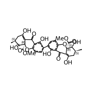 COC(=O)[C@@]12Oc3ccc(-c4ccc5c(c4O)C(=O)C4=C(O)C[C@H](C)[C@H](O)[C@]4(C(=O)OC)O5)c(O)c3C(=O)C1=C(O)C[C@H](C)[C@@H]2O